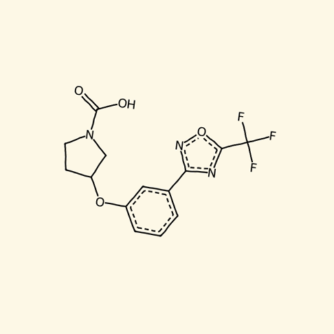 O=C(O)N1CCC(Oc2cccc(-c3noc(C(F)(F)F)n3)c2)C1